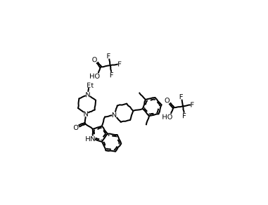 CCN1CCN(C(=O)c2[nH]c3ccccc3c2CN2CCC(c3c(C)cccc3C)CC2)CC1.O=C(O)C(F)(F)F.O=C(O)C(F)(F)F